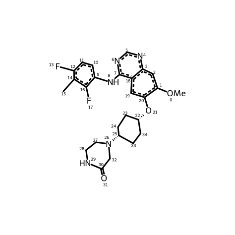 COc1cc2ncnc(Nc3ccc(F)c(C)c3F)c2cc1O[C@H]1CC[C@@H](N2CCNC(=O)C2)CC1